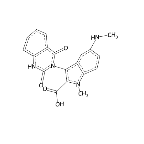 CNc1ccc2c(c1)c(-n1c(=O)[nH]c3ccccc3c1=O)c(C(=O)O)n2C